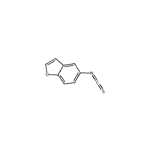 S=C=Nc1ccc2occc2c1